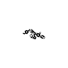 CCc1ccc(CN2CC3C(C2)C3CN(C(=O)C2CCCN2C(C)=O)c2ccc(N3CCOCC3)c(F)c2)cc1